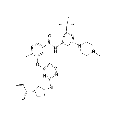 C=CC(=O)N1CCC(Nc2nccc(Oc3cc(C(=O)Nc4cc(N5CCN(C)CC5)cc(C(F)(F)F)c4)ccc3C)n2)C1